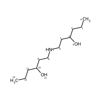 CCCC(O)CCNCCC(O)CCC